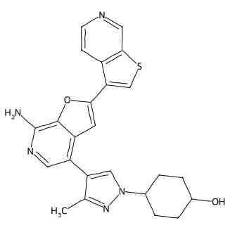 Cc1nn(C2CCC(O)CC2)cc1-c1cnc(N)c2oc(-c3csc4cnccc34)cc12